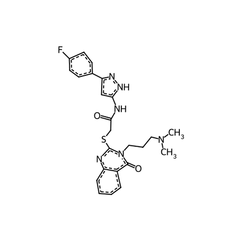 CN(C)CCCn1c(SCC(=O)Nc2cc(-c3ccc(F)cc3)n[nH]2)nc2ccccc2c1=O